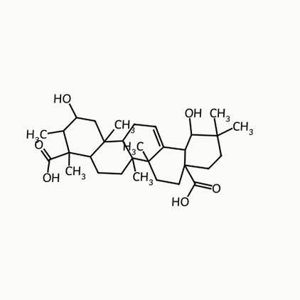 CC1C(O)CC2(C)C(CCC3(C)C2CC=C2C4C(O)C(C)(C)CCC4(C(=O)O)CCC23C)C1(C)C(=O)O